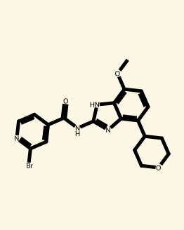 COc1ccc(C2CCOCC2)c2nc(NC(=O)c3ccnc(Br)c3)[nH]c12